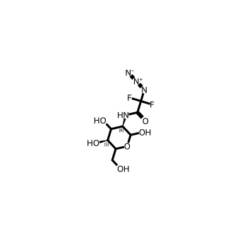 [N-]=[N+]=NC(F)(F)C(=O)N[C@H]1C(O)OC(CO)[C@@H](O)C1O